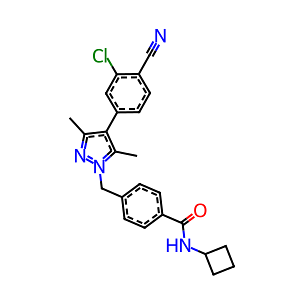 Cc1nn(Cc2ccc(C(=O)NC3CCC3)cc2)c(C)c1-c1ccc(C#N)c(Cl)c1